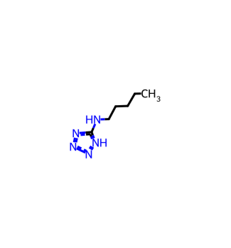 CCCCCNc1nnn[nH]1